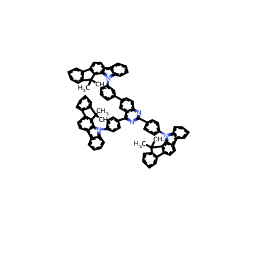 CC1(C)c2ccccc2-c2ccc3c4ccccc4n(-c4ccc(-c5nc(-c6ccc(-n7c8ccccc8c8ccc9c(c87)C(C)(C)c7ccccc7-9)cc6)c6cc(-c7cccc(-n8c9ccccc9c9ccc%10c(c98)C(C)(C)c8ccccc8-%10)c7)ccc6n5)cc4)c3c21